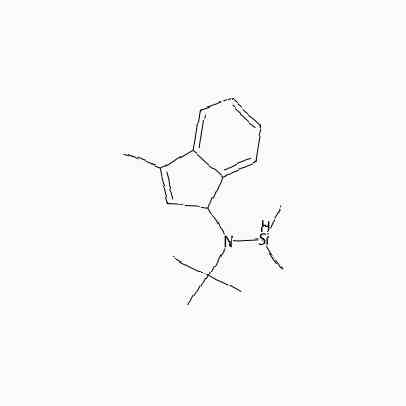 CC1=CC(N([SiH](C)C)C(C)(C)C)c2ccccc21